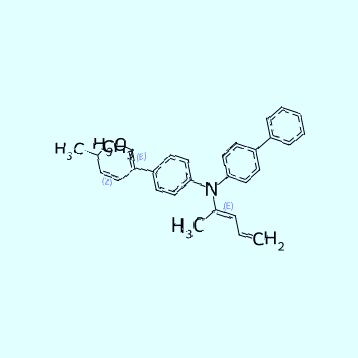 C=C/C=C(\C)N(c1ccc(C(/C=C\C(C)C)=C/C)cc1)c1ccc(-c2ccccc2)cc1